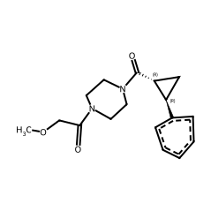 COCC(=O)N1CCN(C(=O)[C@@H]2C[C@H]2c2ccccc2)CC1